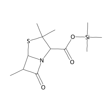 CC1C(=O)N2C1SC(C)(C)C2C(=O)O[Si](C)(C)C